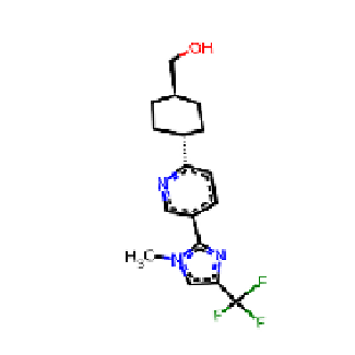 Cn1cc(C(F)(F)F)nc1-c1ccc([C@H]2CC[C@H](CO)CC2)nc1